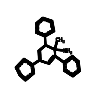 CC1(N)C(c2ccccc2)=CC(c2ccccc2)=CC1c1ccccc1